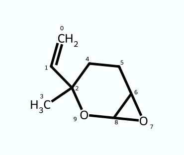 C=CC1(C)CCC2OC2O1